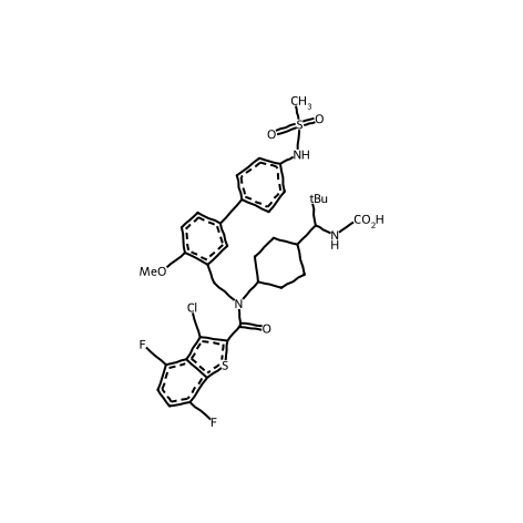 COc1ccc(-c2ccc(NS(C)(=O)=O)cc2)cc1CN(C(=O)c1sc2c(F)ccc(F)c2c1Cl)C1CCC(C(NC(=O)O)C(C)(C)C)CC1